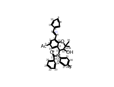 CC(=O)c1cc(/C=C/c2ccccc2)c2c(c1)C(N(C(=O)c1ccccc1)c1ccc(F)cc1)C(O)C(C)(C)O2